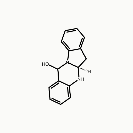 OC1c2ccccc2N[C@@H]2Cc3ccccc3N12